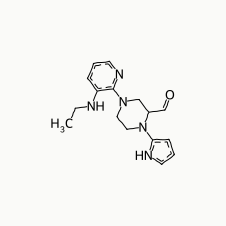 CCNc1cccnc1N1CCN(c2ccc[nH]2)C(C=O)C1